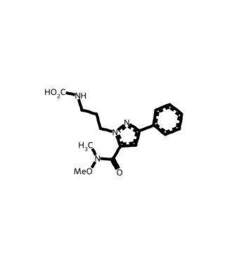 CON(C)C(=O)c1cc(-c2ccccc2)nn1CCCNC(=O)O